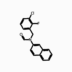 O=CN(Cc1cccc(Cl)c1F)c1ccc2ccccc2c1